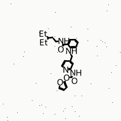 CCC(CC)CCNC(=O)c1ccccc1NCc1ccnc(NC(=O)Oc2ccco2)c1